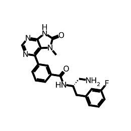 Cn1c(=O)[nH]c2ncnc(-c3cccc(C(=O)N[C@H](CN)Cc4cccc(F)c4)c3)c21